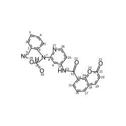 N#Cc1ccccc1N(c1cc(NC(=O)c2cccc3ccc(=O)oc23)ccn1)[SH](=O)=O